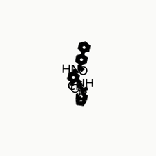 CC(C(=O)Nc1cc(NC(=O)c2ccc(-c3ccccc3)cc2)ccc1C(F)(F)F)N1CC2CCC(C1)O2